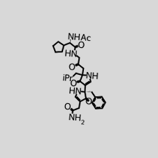 CC(=O)N[C@H](C(=O)NCC(=O)CC1(CC(C)C)NC=C([C@]2(Cc3ccccc3)NC=C(CC(N)=O)C2=O)C1=O)C1CCCC1